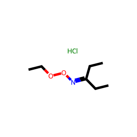 CCOON=C(CC)CC.Cl